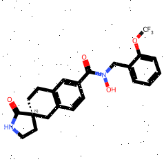 O=C(c1ccc2c(c1)CC[C@@]1(CCNC1=O)C2)N(O)Cc1ccccc1OC(F)(F)F